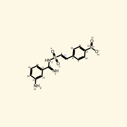 N=C(NS(=O)(=O)/C=C/c1ccc([N+](=O)[O-])cc1)c1cccc(N)c1